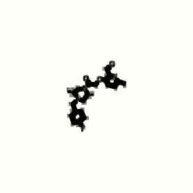 Cc1ccc(OCC(=O)N2C[C@H](C)N(Cc3ccc(F)cc3)C[C@H]2C)c(C=O)n1